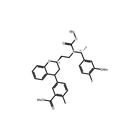 COC(=O)c1cc(C2C[C@H](CCN(C(=O)OC(C)(C)C)[C@H](C)c3ccc(F)c(OC)c3)Oc3ccccc32)ccc1C